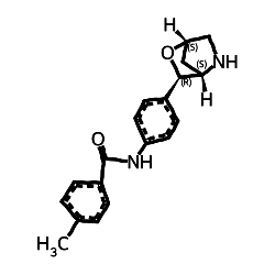 Cc1ccc(C(=O)Nc2ccc([C@H]3O[C@@H]4CN[C@H]3C4)cc2)cc1